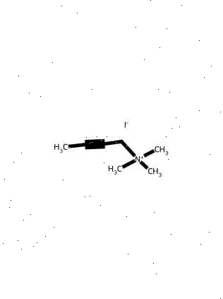 CC#CC[N+](C)(C)C.[I-]